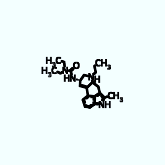 CCCN1C[C@@H](NC(=O)N(CC)CC)C=C2c3cccc4[nH]c(C)c(c34)C[C@H]21